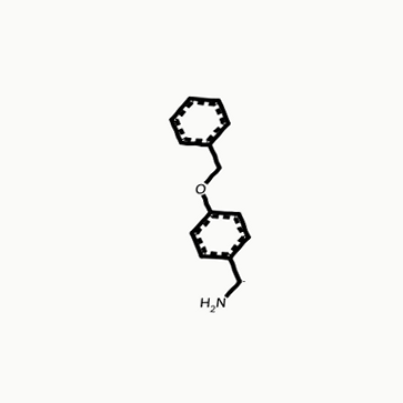 N[CH]c1ccc(OCc2ccccc2)cc1